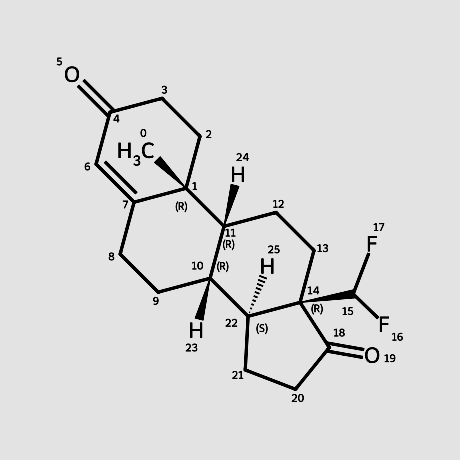 C[C@]12CCC(=O)C=C1CC[C@@H]1[C@H]2CC[C@]2(C(F)F)C(=O)CC[C@@H]12